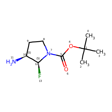 CC(C)(C)OC(=O)N1CC[C@H](N)[C@@H]1F